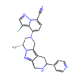 C[C@@H]1CN(c2ccc(C#N)n3ncc(F)c23)Cc2c3c(nn21)CNC(c1ccncc1)C3